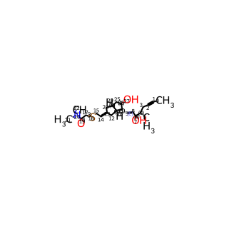 CC#CC[C@H](C)[C@@H](O)/C=C/[C@@H]1[C@H]2CC(=CCSCC(=O)N(C)C)C[C@H]2C[C@H]1O